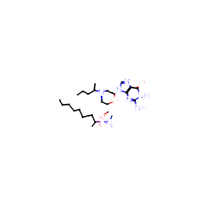 CCCCCCCC(C)P(=O)(OC[C@@H]1CN(C(C)CCC)C[C@H](n2cnc3c(=O)[nH]c(N)nc32)O1)N(C)C